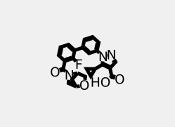 O=C(O)c1cnn(-c2cccc(-c3cccc(C(=O)N4C=C5CC4CO5)c3F)c2)c1C1CC1